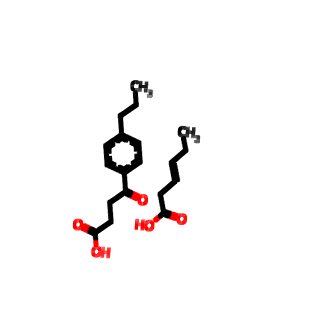 CCC=CCC(=O)O.CCCc1ccc(C(=O)CCC(=O)O)cc1